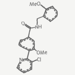 COc1ccccc1CNC(=O)c1ccc(-c2ncccc2Cl)c(OC)c1